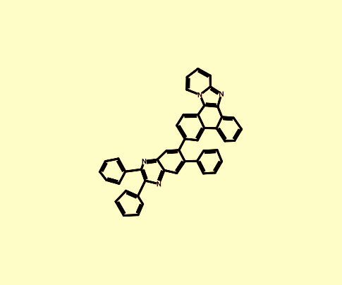 c1ccc(-c2cc3nc(-c4ccccc4)c(-c4ccccc4)nc3cc2-c2ccc3c(c2)c2ccccc2c2nc4ccccn4c32)cc1